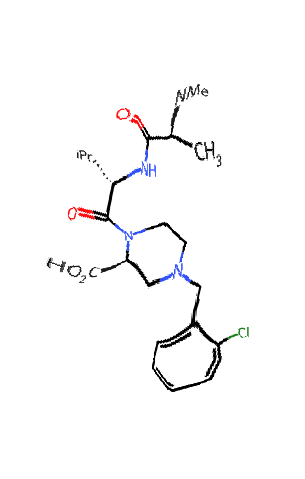 CN[C@@H](C)C(=O)N[C@H](C(=O)N1CCN(Cc2ccccc2Cl)C[C@H]1C(=O)O)C(C)C